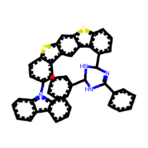 c1ccc(C2=NC(c3cccc4sc5cc6sc7ccc(-n8c9ccccc9c9ccccc98)cc7c6cc5c34)NC(c3ccccc3)N2)cc1